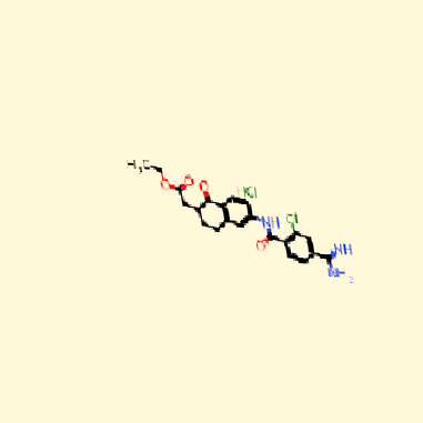 CCOC(=O)CC1CCc2cc(NC(=O)c3ccc(C(=N)N)cc3Cl)ccc2C1=O.Cl